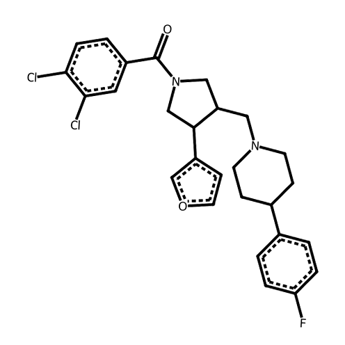 O=C(c1ccc(Cl)c(Cl)c1)N1CC(CN2CCC(c3ccc(F)cc3)CC2)C(c2ccoc2)C1